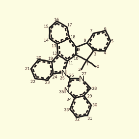 CC1(C)c2ccccc2-c2c1c1c(c3ccccc23)c2ccccc2n1-c1ncc2ccccc2n1